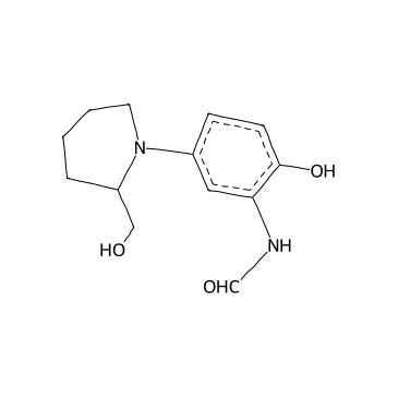 O=CNc1cc(N2CCCCC2CO)ccc1O